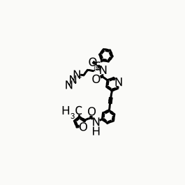 Cc1ccoc1C(=O)Nc1cccc(C#Cc2cncc(C(=O)N=[S@](=O)(CCCN=[N+]=[N-])c3ccccc3)c2)c1